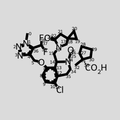 Cn1nnc(COc2ccc(Cl)c3c2C(CN2CC4(CC4)CC2=O)N(C(=O)[C@@H]2CCC[C@]2(C)C(=O)O)CC3)c1C(F)F